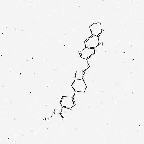 CCc1cc2ncc(CN3CC4CN(c5ccc(C(=O)NC)nc5)CCC43)cc2[nH]c1=O